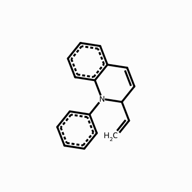 C=CC1C=Cc2ccccc2N1c1ccccc1